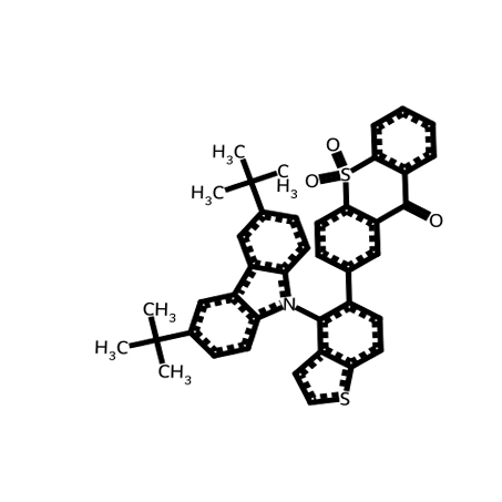 CC(C)(C)c1ccc2c(c1)c1cc(C(C)(C)C)ccc1n2-c1c(-c2ccc3c(c2)C(=O)c2ccccc2S3(=O)=O)ccc2sccc12